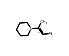 CC/C=C(\C)N1CCCCC1